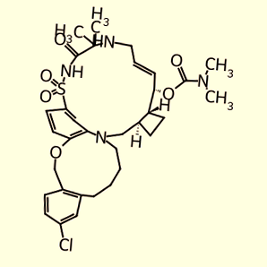 CN(C)C(=O)O[C@H]1/C=C/CNC(C)(C)C(=O)NS(=O)(=O)c2ccc3c(c2)N(CCCCc2cc(Cl)ccc2CO3)C[C@@H]2CC[C@H]21